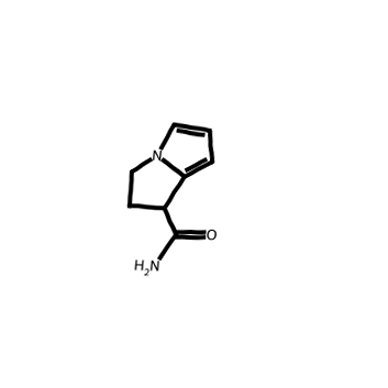 NC(=O)C1CCn2cccc21